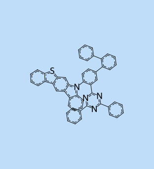 c1ccc(-c2nc(-c3ccccc3)nc(-c3cc(-c4ccccc4-c4ccccc4)ccc3-n3c4ccccc4c4cc5c(cc43)sc3ccccc35)n2)cc1